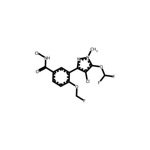 Cn1nc(-c2cc(C(=O)NCl)ccc2OCF)c(Cl)c1OC(F)F